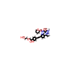 CC=C(c1ccc(C#Cc2ccc(C(O)COCCO)cc2)cc1)N(C)[C@@](C)(C(=O)NC)C(=O)NOC1CCCCO1